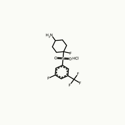 Cl.NC1CCC(F)(S(=O)(=O)c2cc(F)cc(C(F)(F)F)c2)CC1